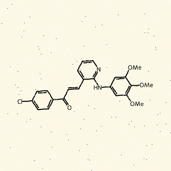 COc1cc(Nc2ncccc2C=CC(=O)c2ccc(Cl)cc2)cc(OC)c1OC